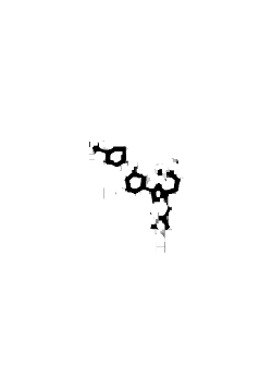 Cc1cc(Oc2ccc(C(F)(F)F)cc2)cc(-c2cn(Cc3c[nH]cn3)c3ccc(=O)n(C)c23)c1